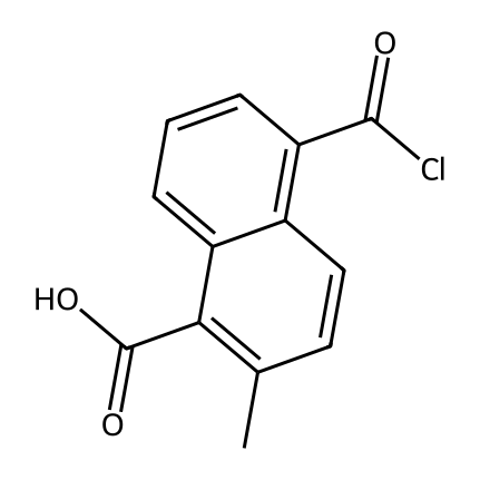 Cc1ccc2c(C(=O)Cl)cccc2c1C(=O)O